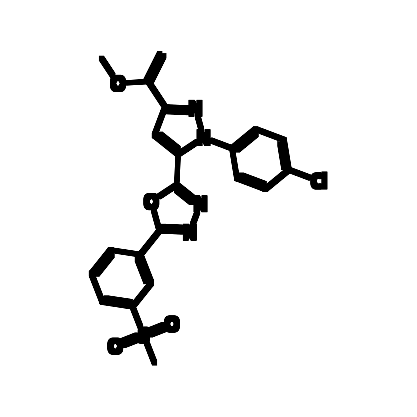 C=C(OC)c1cc(-c2nnc(-c3cccc(S(C)(=O)=O)c3)o2)n(-c2ccc(Cl)cc2)n1